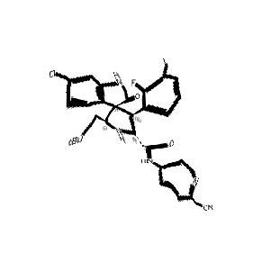 CC(C)(C)C[C@@H]1N[C@@H](C(=O)Nc2ccc(C#N)nc2)[C@H](c2cccc(I)c2F)[C@]12C(=O)Nc1cc(Cl)ccc12